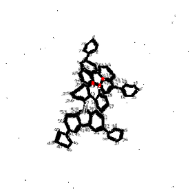 c1ccc(-c2ccc3c(c2)c2cc(-c4ccccc4)ccc2n3-c2cccc(-n3c4ccc(-c5ccccc5)cc4c4cc(-c5ccccc5)ccc43)c2-c2ccccc2-n2c3ccccc3c3ccccc32)cc1